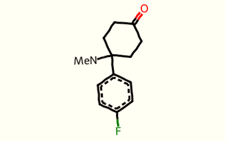 CNC1(c2ccc(F)cc2)CCC(=O)CC1